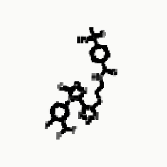 CS(=N)(=O)c1ccc(C(=O)NCCSc2nonc2-c2noc(=O)n2-c2ccc(F)c(C(F)F)c2)cc1